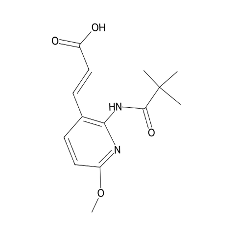 COc1ccc(/C=C/C(=O)O)c(NC(=O)C(C)(C)C)n1